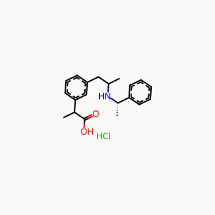 CC(Cc1cccc(C(C)C(=O)O)c1)N[C@@H](C)c1ccccc1.Cl